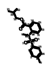 Cc1ccc(S(=O)(=O)N(C)c2ccccc2C(=O)OCC(C)C)cc1